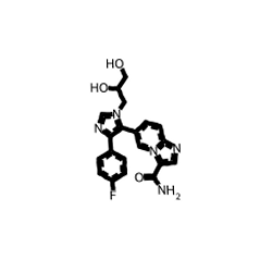 NC(=O)c1cnc2ccc(-c3c(-c4ccc(F)cc4)ncn3CC(O)CO)cn12